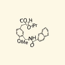 COc1ccc(CC(OC(C)C)C(=O)O)cc1CNC(=O)c1ccc2ccccc2c1